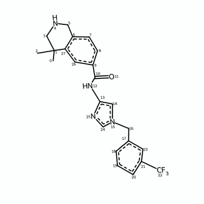 CC1(C)CNCc2ccc(C(=O)Nc3cn(Cc4cccc(C(F)(F)F)c4)cn3)cc21